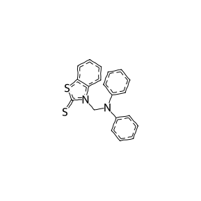 S=c1sc2ccccc2n1CN(c1ccccc1)c1ccccc1